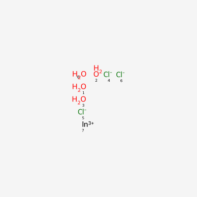 O.O.O.O.[Cl-].[Cl-].[Cl-].[In+3]